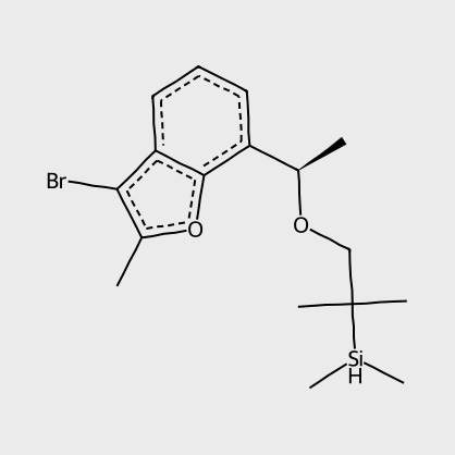 Cc1oc2c([C@@H](C)OCC(C)(C)[SiH](C)C)cccc2c1Br